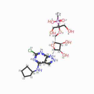 CCP(=O)(O)C(CO)(CO)OC[C@H]1O[C@@H](n2ncc3c(NC4CCCC4)nc(Cl)nc32)[C@H](O)[C@@H]1O